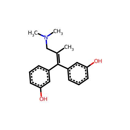 CC(CN(C)C)=C(c1cccc(O)c1)c1cccc(O)c1